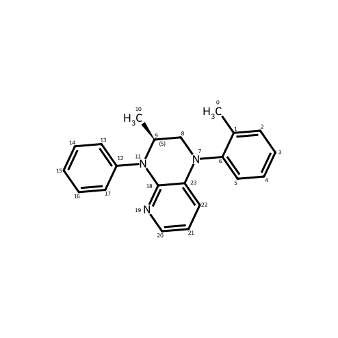 Cc1ccccc1N1C[C@H](C)N(c2ccccc2)c2ncccc21